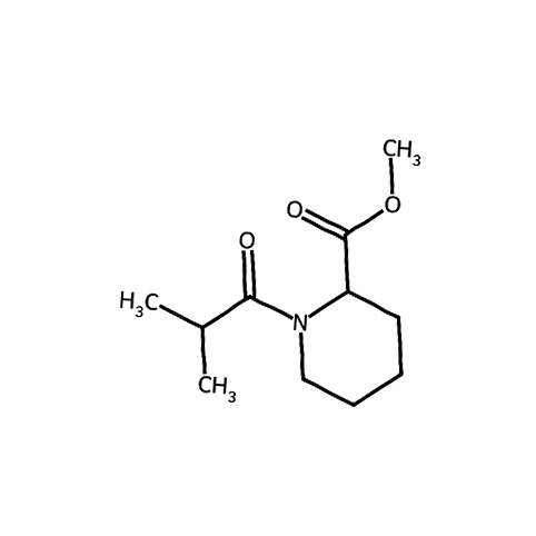 COC(=O)C1CCCCN1C(=O)C(C)C